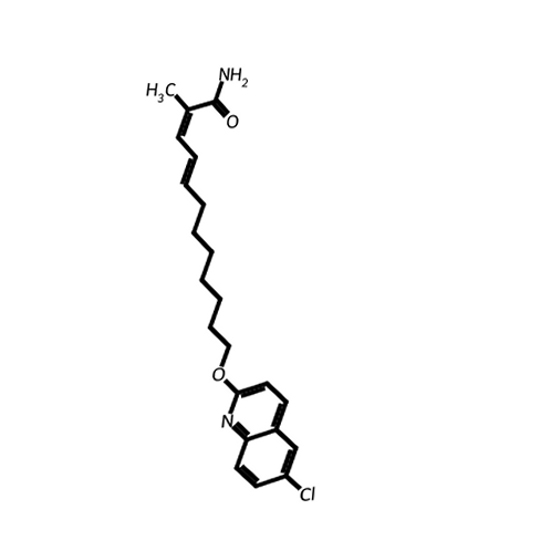 CC(=CC=CCCCCCCCOc1ccc2cc(Cl)ccc2n1)C(N)=O